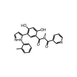 Cc1ccccc1-n1nccc1-c1cc(C(=O)N(C)C(=O)c2cccnc2)c(O)cc1O